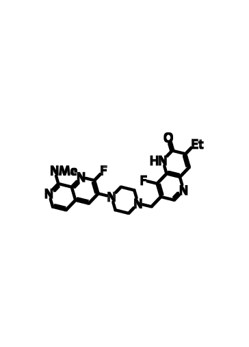 CCc1cc2ncc(CN3CCN(c4cc5ccnc(NC)c5nc4F)CC3)c(F)c2[nH]c1=O